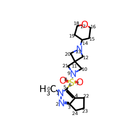 Cn1nc2c(c1S(=O)(=O)N1CC3(CN(C4CCOCC4)C3)C1)CCC2